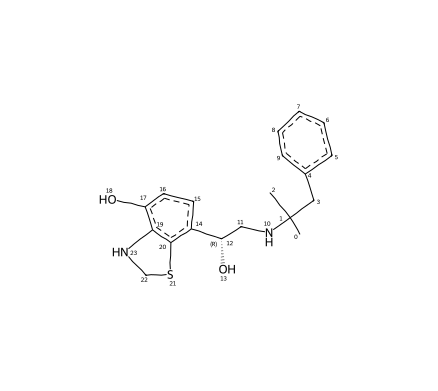 CC(C)(Cc1ccccc1)NC[C@H](O)c1ccc(O)c2c1SCN2